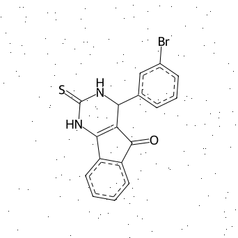 O=C1C2=C(NC(=S)NC2c2cccc(Br)c2)c2ccccc21